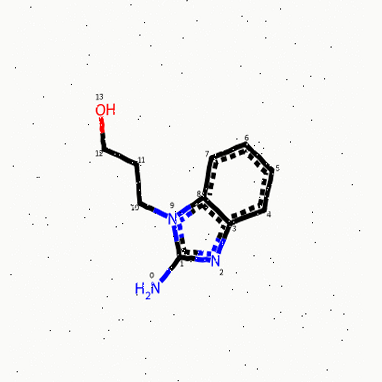 Nc1nc2ccccc2n1CCCO